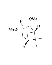 COC1[C@H]2C[C@@H](C[C@H]1OC)C2(C)C